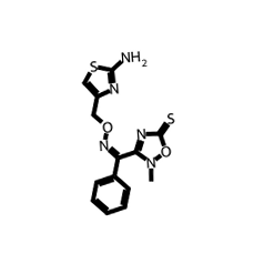 Cn1oc(=S)nc1/C(=N\OCc1csc(N)n1)c1ccccc1